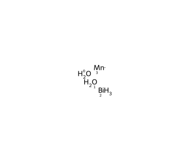 O.O.[BiH3].[Mn]